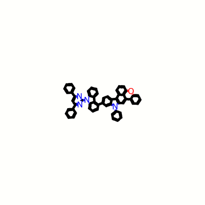 c1ccc(-c2cc(-c3ccccc3)nc(-n3c4ccccc4c4c(-c5ccc6c7c8cccc9c8c(cc7n(-c7ccccc7)c6c5)-c5ccccc5O9)cccc43)n2)cc1